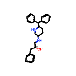 O[C@@H](CNC1CCC(C(c2ccccc2)c2ccccc2)NC1)Cc1ccccc1